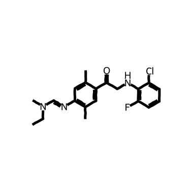 CCN(C)C=Nc1cc(C)c(C(=O)CNc2c(F)cccc2Cl)cc1C